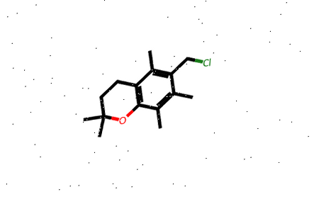 Cc1c(C)c2c(c(C)c1CCl)CCC(C)(C)O2